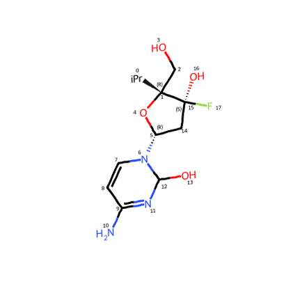 CC(C)[C@]1(CO)O[C@@H](N2C=CC(N)=NC2O)C[C@]1(O)F